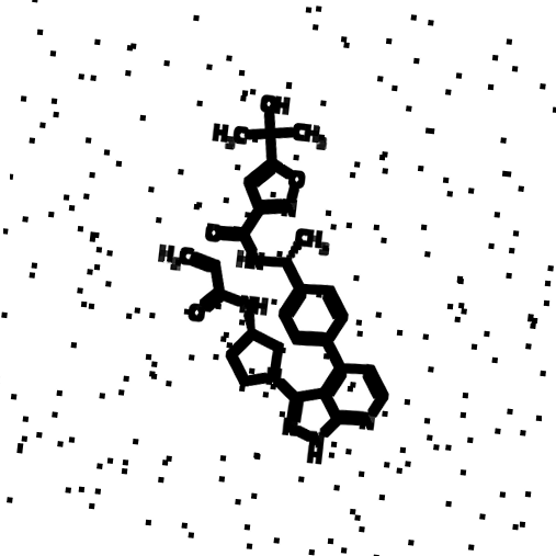 C=CC(=O)N[C@@H]1CCN(c2n[nH]c3nccc(-c4ccc([C@@H](C)NC(=O)c5cc(C(C)(C)O)on5)cc4)c23)C1